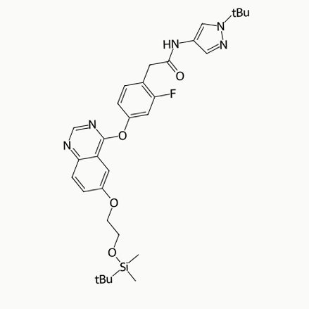 CC(C)(C)n1cc(NC(=O)Cc2ccc(Oc3ncnc4ccc(OCCO[Si](C)(C)C(C)(C)C)cc34)cc2F)cn1